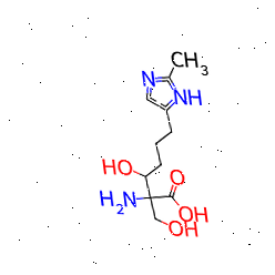 Cc1ncc(CCCC(O)C(N)(CO)C(=O)O)[nH]1